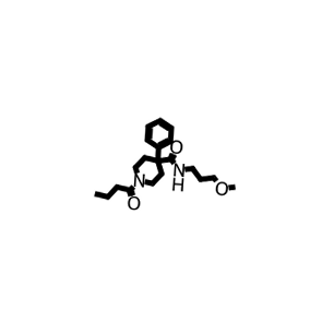 CCCC(=O)N1CCC(C(=O)NCCCOC)(c2ccccc2)CC1